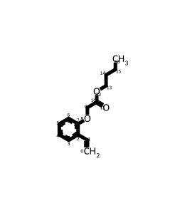 C=Cc1ccccc1OCC(=O)OCCCC